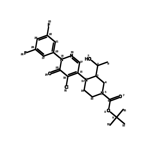 CC(O)C1CN(C(=O)OC(C)(C)C)CCN1c1cnn(-c2cc(F)cc(F)c2)c(=O)c1Cl